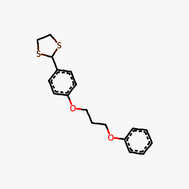 c1ccc(OCCCOc2ccc(C3SCCS3)cc2)cc1